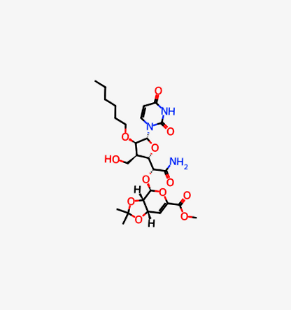 CCCCCCO[C@@H]1[C@H](CO)[C@@H]([C@@H](O[C@H]2OC(C(=O)OC)=C[C@@H]3OC(C)(C)O[C@H]23)C(N)=O)O[C@H]1n1ccc(=O)[nH]c1=O